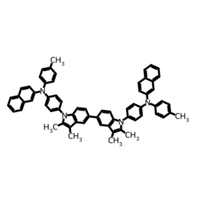 Cc1ccc(N(c2ccc(-n3c(C)c(C)c4cc(-c5ccc6c(c5)c(C)c(C)n6-c5ccc(N(c6ccc(C)cc6)c6ccc7ccccc7c6)cc5)ccc43)cc2)c2ccc3ccccc3c2)cc1